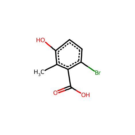 Cc1c(O)ccc(Br)c1C(=O)O